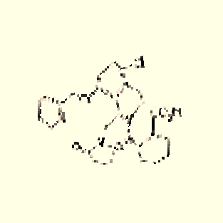 O=C(O)[C@H]1CCCC[C@H]1C(=O)N1CCc2c(Cl)ccc(OCc3ccccn3)c2C1CN1CCCC1=O